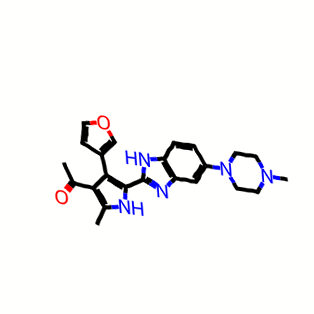 CC(=O)c1c(C)[nH]c(-c2nc3cc(N4CCN(C)CC4)ccc3[nH]2)c1-c1ccoc1